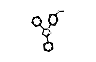 COc1ccc(N2N=C(c3ccccc3)CC2c2ccccc2)cc1